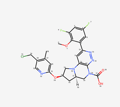 COc1c(F)cc(F)cc1-c1cc2c(nn1)N(C(=O)O)C[C@H]1C[C@@H](Oc3cc(C)c(CCl)cn3)CN21